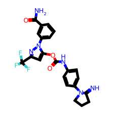 N=C1CCCN1c1ccc(NC(=O)Oc2cc(C(F)(F)F)nn2-c2cccc(C(N)=O)c2)cc1